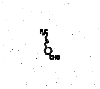 O=CC1CCC(CSCCC(F)(F)F)CC1